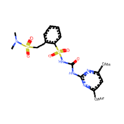 COc1cc(OC)nc(NC(=O)NS(=O)(=O)c2ccccc2CS(=O)(=O)N(C)C)n1